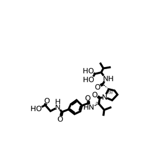 CC(C)C(NC(=O)[C@@H]1CCCN1C(=O)[C@@H](NC(=O)c1ccc(C(=O)NCC(=O)O)cc1)C(C)C)C(O)O